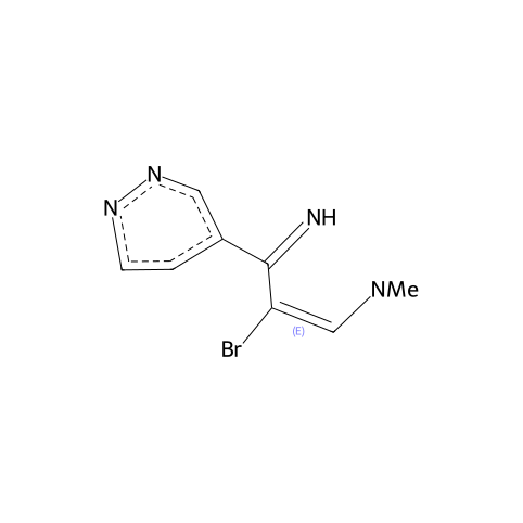 CN/C=C(/Br)C(=N)c1ccnnc1